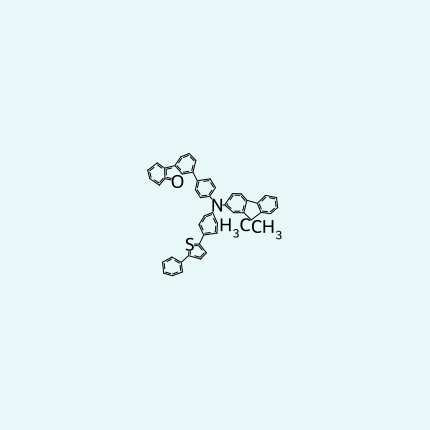 CC1(C)c2ccccc2-c2ccc(N(c3ccc(-c4ccc(-c5ccccc5)s4)cc3)c3ccc(-c4cccc5c4oc4ccccc45)cc3)cc21